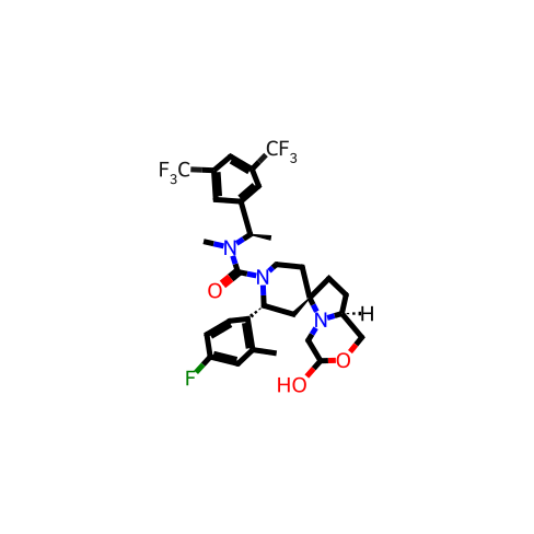 Cc1cc(F)ccc1[C@H]1C[C@]2(CC[C@H]3COC(O)CN32)CCN1C(=O)N(C)[C@H](C)c1cc(C(F)(F)F)cc(C(F)(F)F)c1